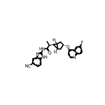 CC(C(=O)Nc1nc2cc(C#N)ccc2[nH]1)[C@H]1[C@@H]2C[C@H](Oc3ccnc4ccc(F)cc34)C[C@@H]21